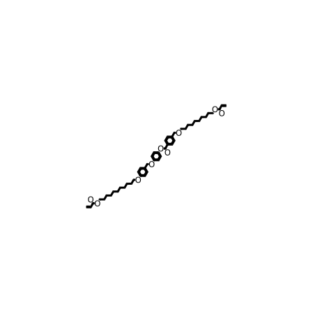 C=CC(=O)OCCCCCCCCCCCOc1ccc(COc2ccc(OC(=O)c3ccc(COCCCCCCCCCCOC(=O)C=C)cc3)cc2)cc1